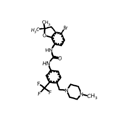 CN1CCN(Cc2ccc(NC(=O)Nc3ccc(Br)c4c3OC(C)(C)C4)cc2C(F)(F)F)CC1